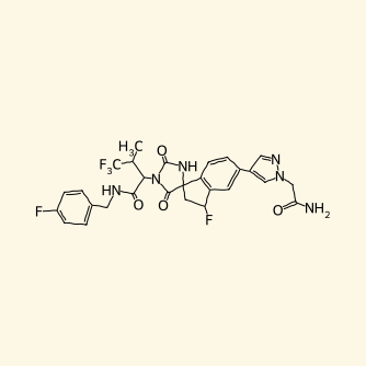 CC(C(C(=O)NCc1ccc(F)cc1)N1C(=O)NC2(CC(F)c3cc(-c4cnn(CC(N)=O)c4)ccc32)C1=O)C(F)(F)F